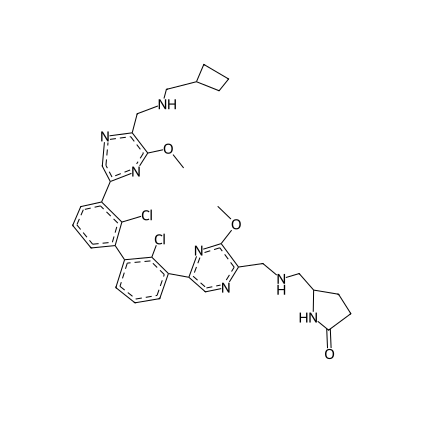 COc1nc(-c2cccc(-c3cccc(-c4cnc(CNCC5CCC(=O)N5)c(OC)n4)c3Cl)c2Cl)cnc1CNCC1CCC1